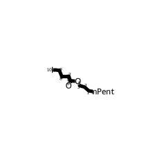 CCCCCCCCOC(=O)CCCI